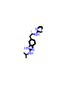 CC(C)Nc1nc2ccc(C[C@H](C)Nc3ccccn3)cc2[nH]1